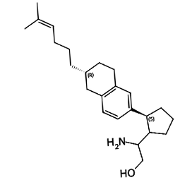 CC(C)=CCCC[C@@H]1CCc2cc([C@H]3CCCC3C(N)CO)ccc2C1